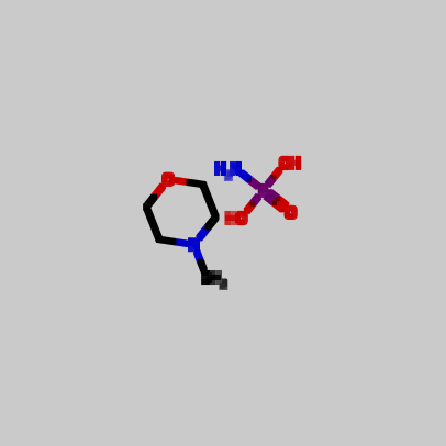 BN1CCOCC1.NP(=O)(O)O